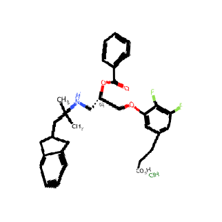 CC(C)(CC1Cc2ccccc2C1)NC[C@@H](COc1cc(CCC(=O)O)cc(F)c1F)OC(=O)c1ccccc1.Cl